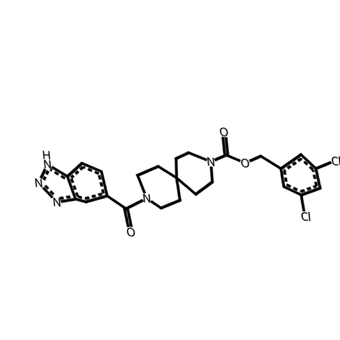 O=C(OCc1cc(Cl)cc(Cl)c1)N1CCC2(CC1)CCN(C(=O)c1ccc3[nH]nnc3c1)CC2